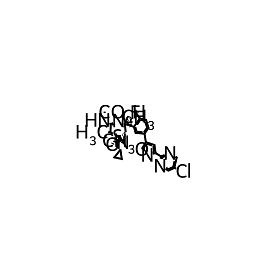 CC1(C)C(NC(=O)O)=N[C@](C)(c2cc(-c3cc(-c4ncc(Cl)cn4)no3)ccc2F)C[S@@]1(=O)=NC1CC1